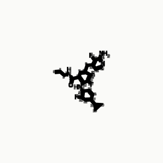 C=CCNC(=O)c1cc(Cc2ccnc(N)c2F)c(F)c(F)c1Nc1ccc(C2CC2)cc1F